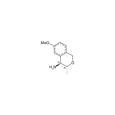 COc1ccc2c(c1)[C@H](N)[C@@H](C)OC2